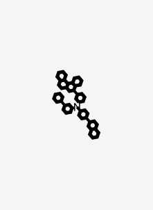 c1ccc(-c2cccc(N(c3ccc(-c4ccc5ccccc5c4)cc3)c3cccc(-c4cc5ccc6ccccc6c5c5ccccc45)c3)c2)cc1